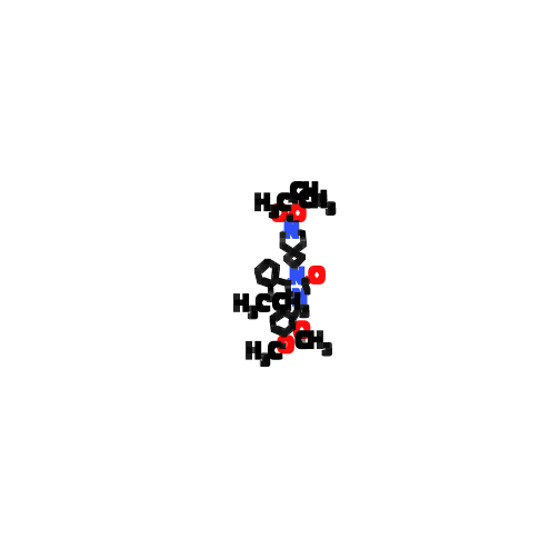 COc1cccc(CN2CC(=O)N(C3CC4(CCN(C(=O)OC(C)(C)C)CC4)C3)C(c3ccccc3C(C)C)C2)c1OC